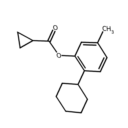 Cc1ccc(C2CCCCC2)c(OC(=O)C2CC2)c1